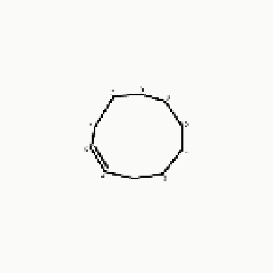 [CH]1CCCC=CCCCC1